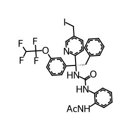 CC(=O)Nc1ccccc1NC(=O)N[C@@](Cc1ccccc1)(c1cccc(OC(F)(F)C(F)F)c1)c1ccc(CI)cn1